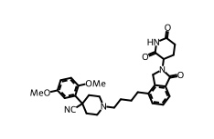 COc1ccc(OC)c(C2(C#N)CCN(CCCCc3cccc4c3CN(C3CCC(=O)NC3=O)C4=O)CC2)c1